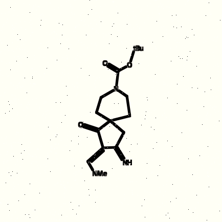 CN/C=C1\C(=N)CC2(CCN(C(=O)OC(C)(C)C)CC2)C1=O